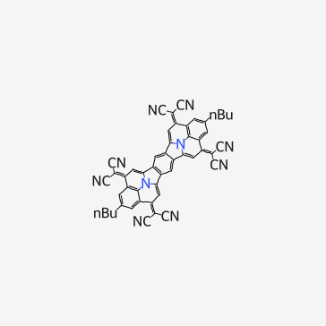 CCCCc1cc2c(=C(C#N)C#N)cc3c4cc5c(cc4c4cc(=C(C#N)C#N)c(c1)c2n34)c1cc(=C(C#N)C#N)c2cc(CCCC)cc3c(=C(C#N)C#N)cc5n1c32